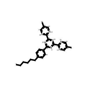 CCCCCCc1ccc(-c2nc(-c3ncc(C)cn3)nc(-c3ncc(C)cn3)n2)cc1